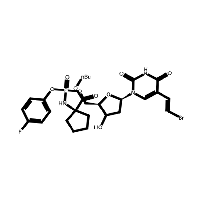 CCCCOC(=O)C1(NP(=O)(OC[C@H]2O[C@@H](n3cc(/C=C/Br)c(=O)[nH]c3=O)CC2O)Oc2ccc(F)cc2)CCCC1